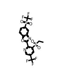 CCS(=O)(=O)c1cc(C(F)(F)F)cnc1-c1nc2cc(S(=O)(=O)C(F)(F)F)ccc2o1